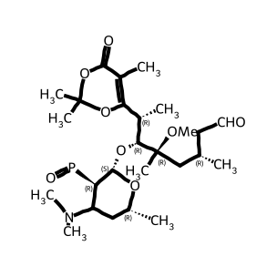 CO[C@](C)(C[C@@H](C)CC=O)[C@H](O[C@@H]1O[C@H](C)CC(N(C)C)[C@H]1P=O)[C@@H](C)C1=C(C)C(=O)OC(C)(C)O1